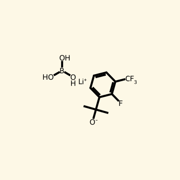 CC(C)([O-])c1cccc(C(F)(F)F)c1F.OB(O)O.[Li+]